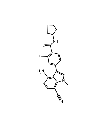 Cn1cc(-c2ccc(C(=O)NC3CCCC3)c(F)c2)c2c(N)ncc(C#N)c21